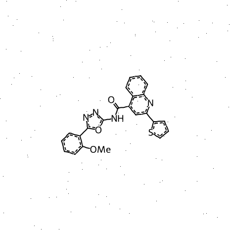 COc1ccccc1-c1nnc(NC(=O)c2cc(-c3cccs3)nc3ccccc23)o1